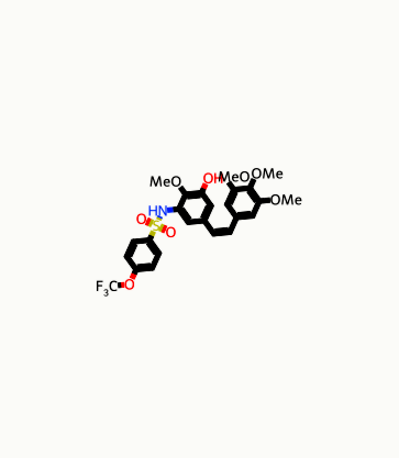 COc1cc(/C=C\c2cc(O)c(OC)c(NS(=O)(=O)c3ccc(OC(F)(F)F)cc3)c2)cc(OC)c1OC